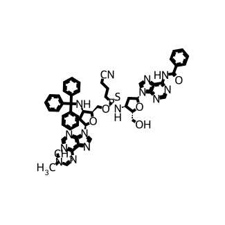 CN(C)/C=N\c1ncnc2c1ncn2[C@H]1C[C@@H](NC(c2ccccc2)(c2ccccc2)c2ccccc2)[C@@H](COP(=S)(CCCC#N)N[C@@H]2C[C@H](n3cnc4c(NC(=O)c5ccccc5)ncnc43)O[C@@H]2CO)O1